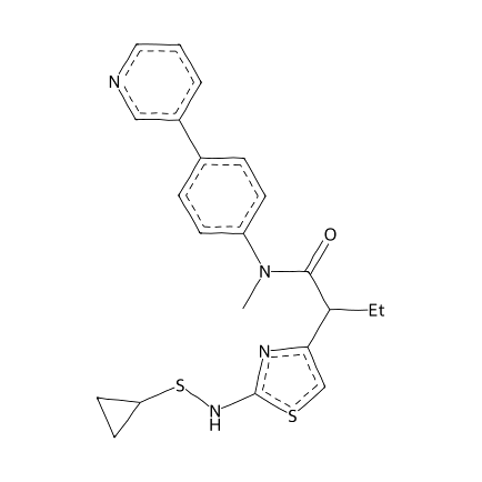 CCC(C(=O)N(C)c1ccc(-c2cccnc2)cc1)c1csc(NSC2CC2)n1